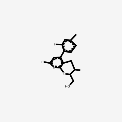 Cc1ccc(-c2cc(Cl)nc3c2CC(C)C(CO)O3)c(F)c1